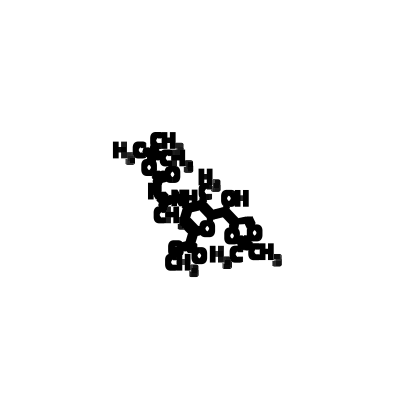 COC(=O)C1=C[C@H](N/C(C)=N\C(=O)OC(C)(C)C)[C@@H](C)[C@H]([C@H](O)[C@H]2COC(C)(C)O2)O1